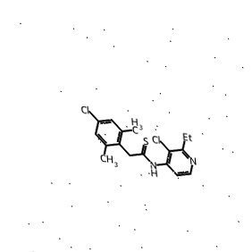 CCc1nccc(NC(=S)Cc2c(C)cc(Cl)cc2C)c1Cl